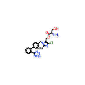 CCCCc1nc(Cl)c(COC(=O)[C@@H](N)CO)n1Cc1ccc(-c2ccccc2-c2nn[nH]n2)cc1